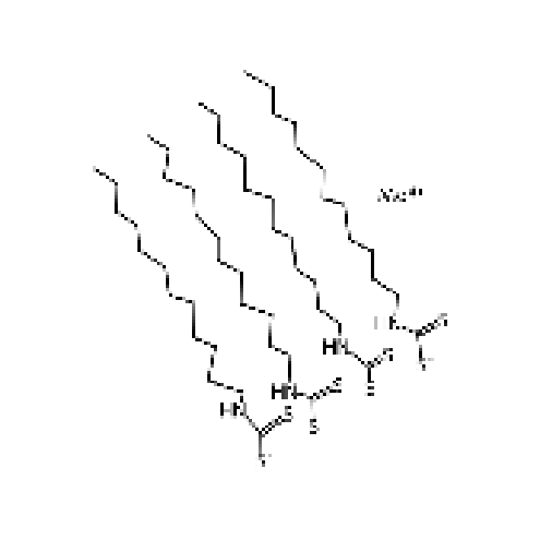 CCCCCCCCCCCCNC(=S)[S-].CCCCCCCCCCCCNC(=S)[S-].CCCCCCCCCCCCNC(=S)[S-].CCCCCCCCCCCCNC(=S)[S-].[Mo+4]